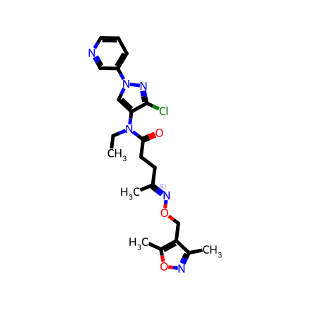 CCN(C(=O)CC/C(C)=N/OCc1c(C)noc1C)c1cn(-c2cccnc2)nc1Cl